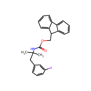 CC(C)(Cc1cccc(I)c1)NC(=O)OCC1c2ccccc2-c2ccccc21